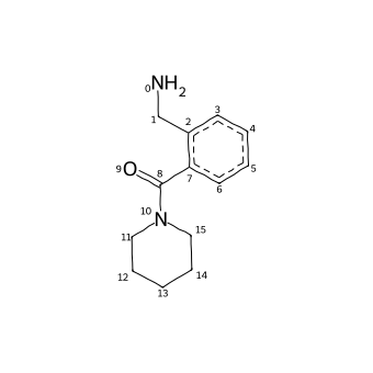 NCc1ccccc1C(=O)N1CCCCC1